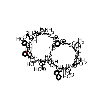 C[C@H](N)C(=O)N[C@H]1CSCCS(=O)(=O)c2cc3cc(c2)S(=O)(=O)CCSC[C@@H](NC(=O)[C@@H](C)NC(=O)[C@H](Cc2cccc4ccccc24)NC(=O)[C@H](CCC(=O)O)NC(=O)[C@H](CC(N)=O)NC(=O)[C@@H](C)NC1=O)C(=O)N[C@@H](CCC(=O)O)C(=O)N[C@@H](CC(=O)O)CN[C@@H](Cc1ccccc1)C(=O)N[C@@H](Cc1ccc(O)cc1)C(=O)N[C@@H](CCC(=O)O)C(=O)N[C@@H](C(C)(C)C)C(=O)N[C@H](C(N)=O)CSCCS3(=O)=O